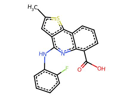 Cc1cc2c(Nc3ccccc3F)nc3c(C(=O)O)cccc3c2s1